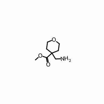 COC(=O)C1(CN)CCOCC1